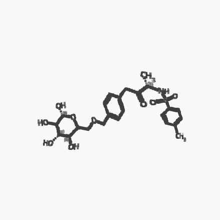 Cc1ccc(S(=O)(=O)N[C@@H](C)C(=O)Cc2ccc(COCC3O[C@@H](O)C(O)[C@@H](O)[C@@H]3O)cc2)cc1